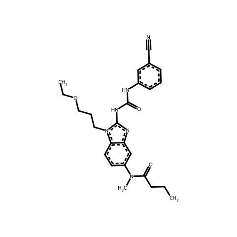 CCCC(=O)N(C)c1ccc2c(c1)nc(NC(=O)Nc1cccc(C#N)c1)n2CCCOCC